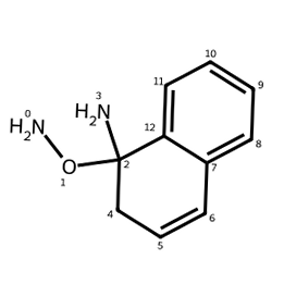 NOC1(N)CC=Cc2ccccc21